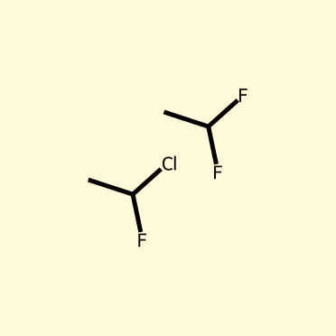 CC(F)Cl.CC(F)F